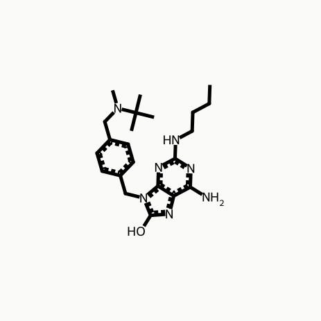 CCCCNc1nc(N)c2nc(O)n(Cc3ccc(CN(C)C(C)(C)C)cc3)c2n1